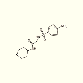 O=C(CNS(=O)(=O)c1ccc([N+](=O)[O-])cc1)NC1CCSCC1